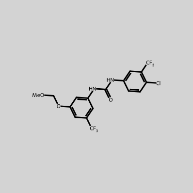 COCOc1cc(NC(=O)Nc2ccc(Cl)c(C(F)(F)F)c2)cc(C(F)(F)F)c1